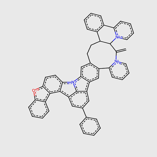 C=C1C2C(CCc3cc4c(cc3-c3cccc[n+]31)c1cc(-c3ccccc3)cc3c5c6c(ccc5n4c13)oc1ccccc16)c1ccccc1-c1cccc[n+]12